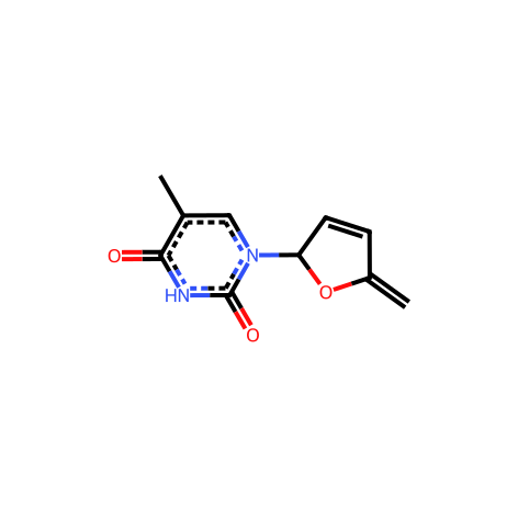 C=C1C=CC(n2cc(C)c(=O)[nH]c2=O)O1